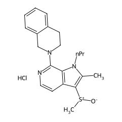 CCCn1c(C)c([S+](C)[O-])c2ccnc(N3CCc4ccccc4C3)c21.Cl